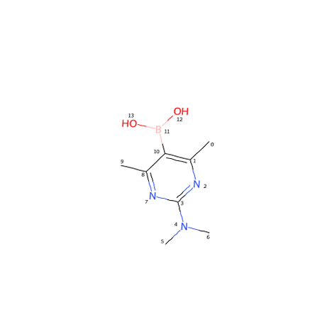 Cc1nc(N(C)C)nc(C)c1B(O)O